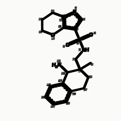 CC1(CNS(=O)(=O)c2cnn3c2OCCC3)CCc2ccccc2C1N